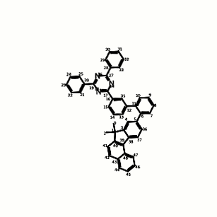 CC1(C)c2cc(-c3ccccc3-c3cccc(-c4nc(-c5ccccc5)nc(-c5ccccc5)n4)c3)ccc2-c2c1ccc1ccccc21